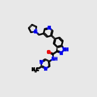 Cc1ncc(NC(=O)c2n[nH]c3ccc(-c4cncc(CN5CCCC5)c4)cc23)cn1